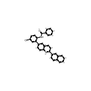 O=C(Nc1ccc(Cl)cc1-c1ccc2nc(-c3ccc4ccccc4c3)ccc2c1)c1ccccc1